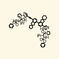 CC(C)[C@H](NC(=O)Oc1ccccc1)C(=O)N1CCC[C@H]1c1ncc(C#Cc2ccc(-c3ccc(-c4cnc([C@@H]5CCCN5C(=O)[C@@H](NC(=O)Oc5ccccc5)C(C)C)[nH]4)c4c3CC3(CCCCC3)C4)c3c2CC2(CCCC2)C3)[nH]1